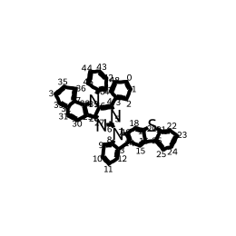 c1ccc(-c2nc(-n3c4ccccc4c4cc5c(cc43)sc3ccccc35)nc3c4ccc5ccccc5c4n(-c4ccccc4)c23)cc1